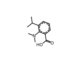 CC(C)c1cccc(C(=O)O)c1N(C)C